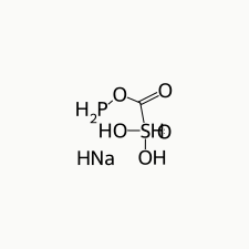 O=C(OP)[SH](=O)(O)O.[NaH]